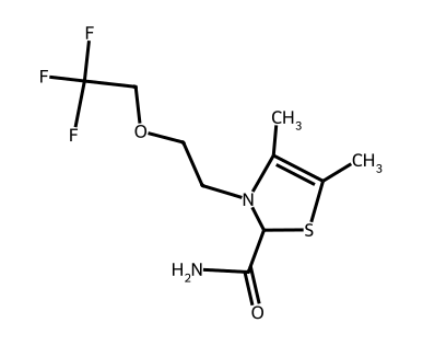 CC1=C(C)N(CCOCC(F)(F)F)C(C(N)=O)S1